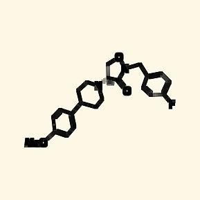 COc1ccc(C2CCN([C@@H]3CON(Cc4ccc(F)cc4)C3=O)CC2)cc1